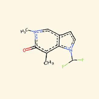 Cc1c(=O)n(C)cc2ccn(C(F)F)c12